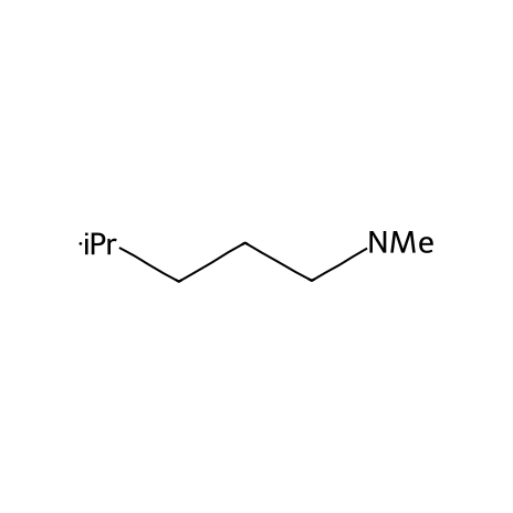 CNCCC[C](C)C